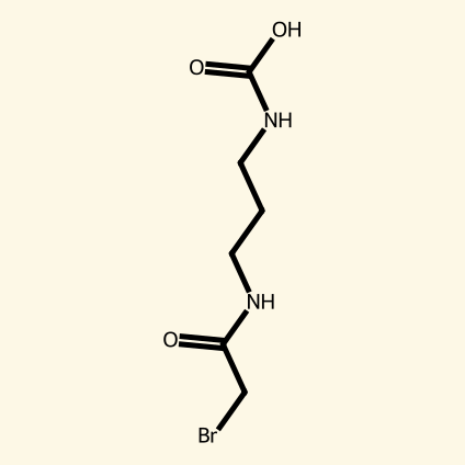 O=C(O)NCCCNC(=O)CBr